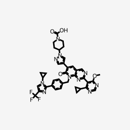 COc1ncnc(C2CC2)c1-c1ncc2cc(-c3cnn(C4CCN(C(=O)O)CC4)c3)c(=O)n(Cc3ccc(-c4nc(C(F)(F)F)cn4C4CC4)cc3)c2n1